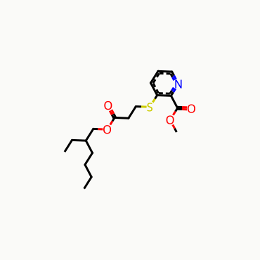 CCCCC(CC)COC(=O)CCSc1cccnc1C(=O)OC